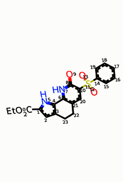 CCOC(=O)c1cc2c([nH]1)-c1[nH]c(=O)c(S(=O)(=O)c3ccccc3)cc1CC2